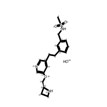 CS(=O)(=O)NCc1cccc(CCc2cncc(OC[C@@H]3CCN3)c2)c1.Cl